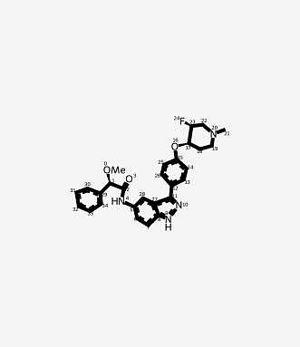 CO[C@@H](C(=O)Nc1ccc2[nH]nc(-c3ccc(O[C@@H]4CCN(C)C[C@@H]4F)cc3)c2c1)c1ccccc1